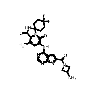 Cc1cc(Nc2ncnc3sc(C(=O)N4CC(N)C4)cc23)c(=O)n2c1C(=O)NC21CCC(F)(F)CC1